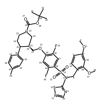 COc1ccc(CN(c2ncns2)S(=O)(=O)c2cc(F)c(OC[C@@H]3CN(C(=O)OC(C)(C)C)CCC3c3ccc(C)cc3)cc2F)c(OC)c1